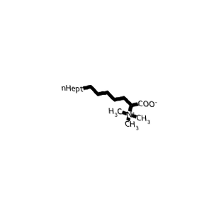 CCCCCCCCCCCCC(C(=O)[O-])[N+](C)(C)C